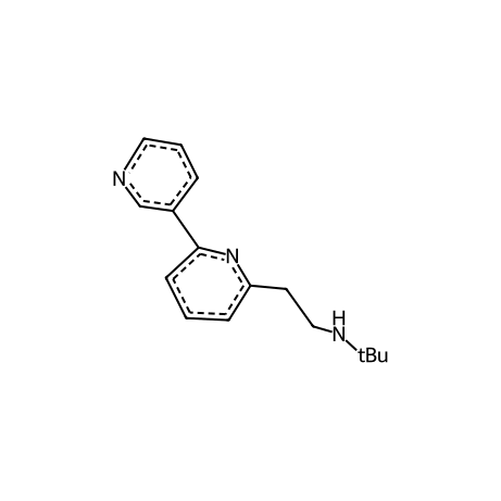 CC(C)(C)NCCc1cccc(-c2cccnc2)n1